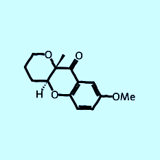 COc1ccc2c(c1)C(=O)[C@@]1(C)OCCC[C@@H]1O2